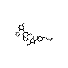 O=C(O)Nc1ccc(-c2nc(Cl)c([C@@H]3CCc4cc(-c5cc(Cl)ccc5-n5cnnn5)cc(=O)n43)[nH]2)nc1